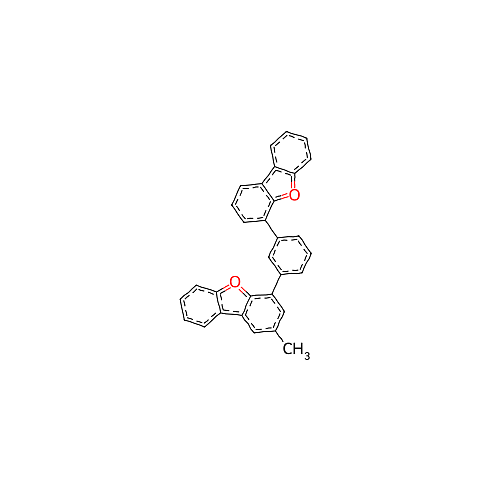 Cc1cc(-c2cccc(-c3cccc4c3oc3ccccc34)c2)c2oc3ccccc3c2c1